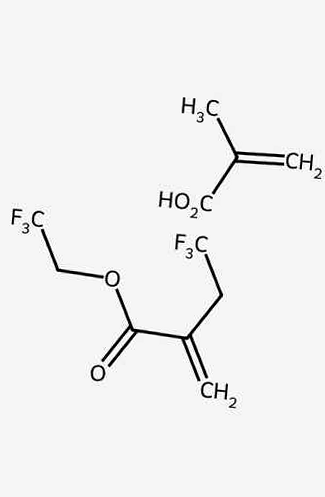 C=C(C)C(=O)O.C=C(CC(F)(F)F)C(=O)OCC(F)(F)F